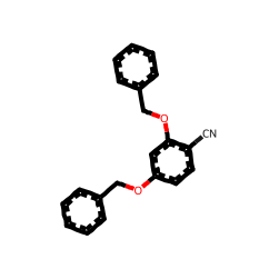 N#Cc1ccc(OCc2ccccc2)cc1OCc1ccccc1